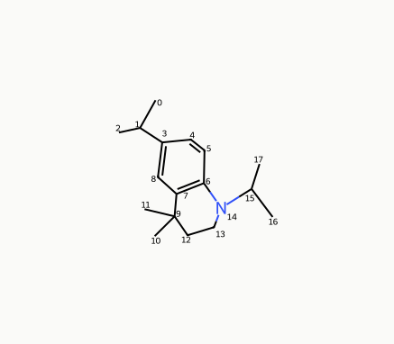 CC(C)c1ccc2c(c1)C(C)(C)CCN2C(C)C